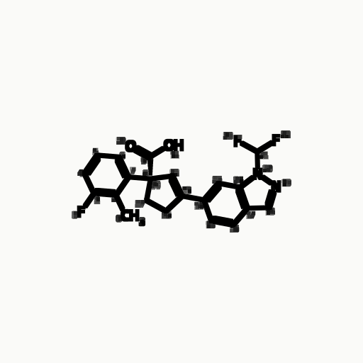 Cc1c(F)cccc1[C@@]1(C(=O)O)C=C(c2ccc3cnn(C(F)F)c3c2)CC1